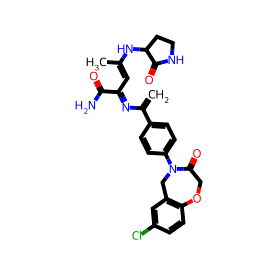 C=C(/N=C(\C=C(/C)NC1CCNC1=O)C(N)=O)c1ccc(N2Cc3cc(Cl)ccc3OCC2=O)cc1